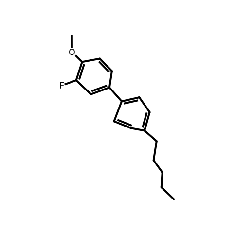 CCCCCc1ccc(-c2ccc(OC)c(F)c2)cc1